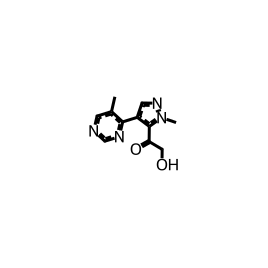 Cc1cncnc1-c1cnn(C)c1C(=O)CO